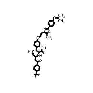 CC/C(=C/C(=O)c1ccc(C(F)(F)F)cc1)NC(Cc1ccc(OCCc2nc(-c3ccc(OC(C)C)cc3)oc2C)cc1)C(=O)O